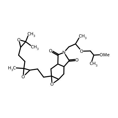 COC(C)COC(C)CN1C(=O)C2CC3OC3(CCC3OC3(C)CCC3OC3(C)C)CC2C1=O